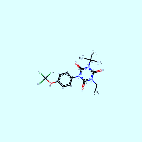 CCn1c(=O)n(-c2ccc(OC(F)(F)F)cc2)c(=O)n(C(C)(C)C)c1=O